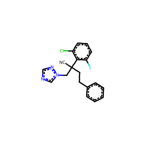 N#CC(CCc1ccccc1)(Cn1cncn1)c1c(F)cccc1Cl